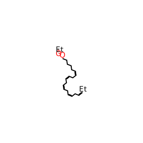 CC/C=C\C/C=C\C/C=C\C/C=C\C/C=C\CCCCCOOCC